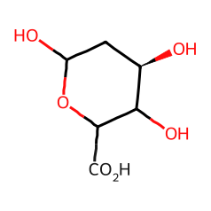 O=C(O)C1OC(O)C[C@@H](O)C1O